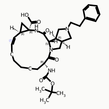 CC(C)(C)OC(=O)N[C@@H]1CCCCC/C=C\[C@H]2C[C@@]2(C(=O)O)NC(=O)[C@@H]2[C@H]3CN(CCc4ccccc4)C[C@H]3CN2C1=O